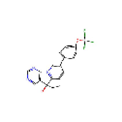 CC[C@](O)(c1cncnc1)c1ccc(-c2ccc(OC(F)(F)F)cc2)cn1